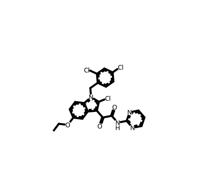 CCOc1ccc2c(c1)c(C(=O)C(=O)Nc1ncccn1)c(Cl)n2Cc1ccc(Cl)cc1Cl